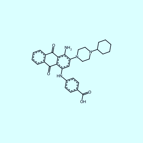 Nc1c(N2CCN(C3CCCCC3)CC2)cc(Nc2ccc(C(=O)O)cc2)c2c1C(=O)c1ccccc1C2=O